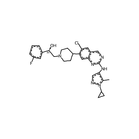 Cc1c(Nc2ncc3cc(Cl)c(C4CCN(C[C@H](O)c5cccc(F)c5)CC4)cc3n2)cnn1C1CC1